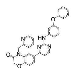 O=C1COc2ccc(-c3ccnc(Nc4cccc(Oc5ccccc5)c4)n3)cc2N1Cc1ccccn1